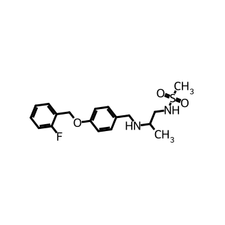 CC(CNS(C)(=O)=O)NCc1ccc(OCc2ccccc2F)cc1